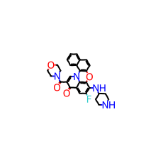 O=C(c1cn2c3c(c(NC4CCNCC4)c(F)cc3c1=O)Oc1ccc3ccccc3c1-2)N1CCOCC1